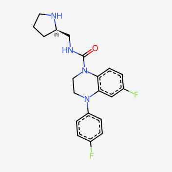 O=C(NC[C@H]1CCCN1)N1CCN(c2ccc(F)cc2)c2cc(F)ccc21